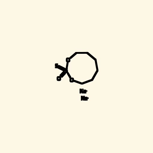 O=S1(=S)OCCCCCCO1.[Na].[Na]